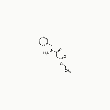 CCOC(=O)CC(=O)N(N)Cc1ccccc1